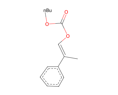 CCCCOC(=O)OC=C(C)c1ccccc1